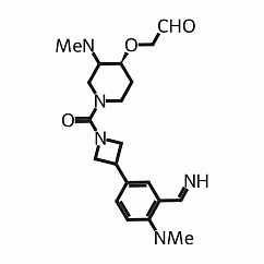 CNc1ccc(C2CN(C(=O)N3CC[C@H](OCC=O)C(NC)C3)C2)cc1C=N